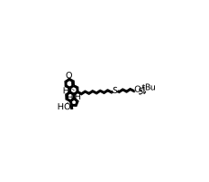 CC1(O)CC[C@H]2[C@@H]3C(CCCCCCCCCSCCCCCO[Si](C)(C)C(C)(C)C)CC4=CC(=O)CC[C@]4(C)[C@@H]3CC[C@@]21C